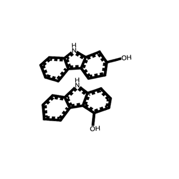 Oc1ccc2c(c1)[nH]c1ccccc12.Oc1cccc2[nH]c3ccccc3c12